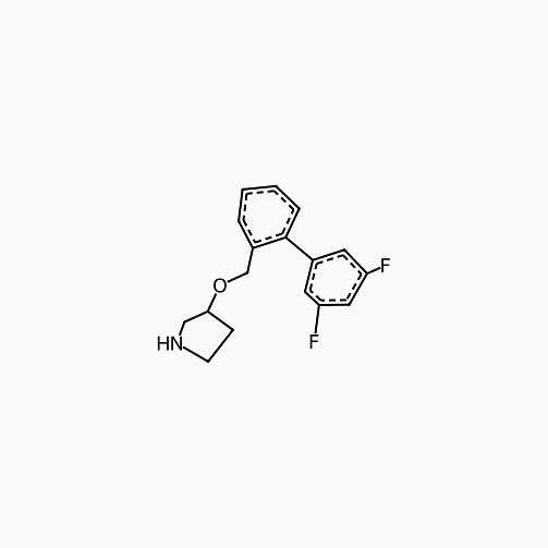 Fc1cc(F)cc(-c2ccccc2COC2CCNC2)c1